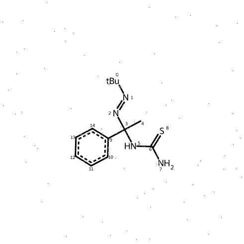 CC(C)(C)N=NC(C)(NC(N)=S)c1ccccc1